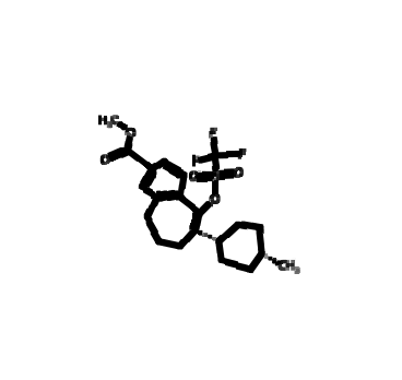 COC(=O)c1ccc2c(c1)CCCC([C@H]1CC[C@@H](C)CC1)=C2OS(=O)(=O)C(F)(F)F